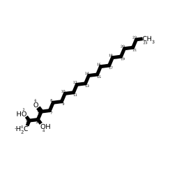 [CH2]C(O)C(O)C(=O)CCCCCCCCCCCCCCCCC